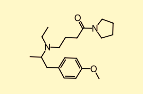 CCN(CCCC(=O)N1CCCC1)C(C)Cc1ccc(OC)cc1